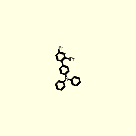 CC(C)c1[c]c(C(C)C)c(-c2ccc(N(c3ccccc3)c3ccccc3)cc2)cc1